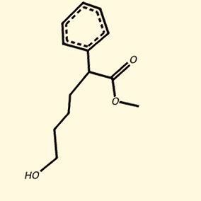 COC(=O)C(CCCCO)c1ccccc1